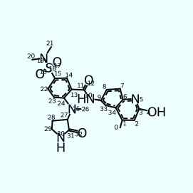 Cc1cc(O)nc2ccc(NC(=O)c3cc(S(=O)(=O)N(C)C)ccc3N(C)C3CCNC3=O)cc12